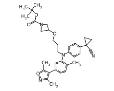 Cc1ccc(-c2c(C)noc2C)cc1N(CCCOC1CN(C(=O)OC(C)(C)C)C1)c1ccc(C2(C#N)CC2)cc1